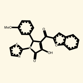 COc1cccc(C2C(C(=O)c3cc4ccccc4o3)=C(O)C(=O)N2c2nccs2)c1